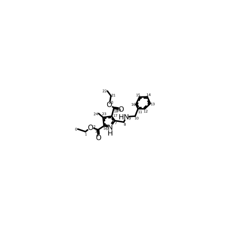 CCOC(=O)c1[nH]c(CNCc2ccccc2)c(C(=O)OCC)c1C